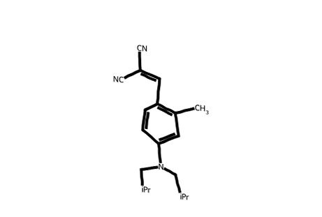 Cc1cc(N(CC(C)C)CC(C)C)ccc1C=C(C#N)C#N